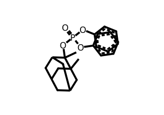 CC12CC3CC(CC(C3)C1(C)OP(=O)(Oc1ccccc1)Oc1ccccc1)C2